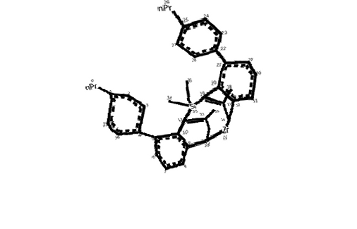 CCCc1ccc(-c2cccc3c2C2=C(C)[CH]3[Zr][CH]3C(C)=C(c4c(-c5ccc(CCC)cc5)cccc43)[Si]2(C)C)cc1